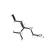 C=C/C=C(/OCC(F)(F)F)N(C)C